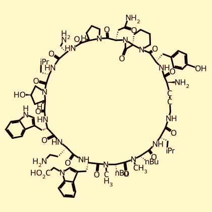 CCCC[C@H]1C(=O)N(C)[C@@H](CCCC)C(=O)N[C@@H](CC(C)C)C(=O)NCCC[C@H](N)C(=O)N[C@@H](Cc2ccc(O)cc2)C(=O)N2CCCC[C@@]23C(=O)N3[C@@H](CC(N)=O)C(=O)N2CCC[C@H]2C(=O)N[C@@H](CN)C(=O)N[C@@H](CC(C)C)C(=O)N2C[C@H](O)C[C@H]2C(=O)N[C@@H](Cc2c[nH]c3ccccc23)C(=O)N[C@@H](CCN)C(=O)N[C@@H](Cc2cn(CC(=O)O)c3ccccc23)C(=O)N1C